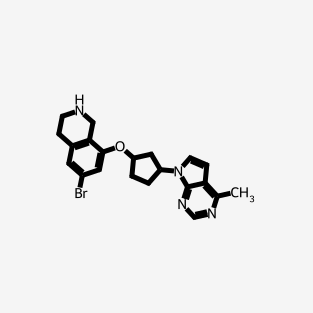 Cc1ncnc2c1ccn2C1CCC(Oc2cc(Br)cc3c2CNCC3)C1